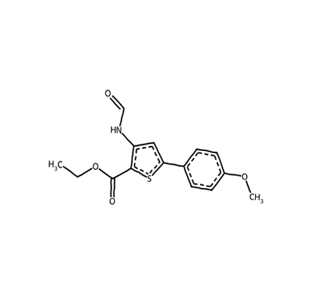 CCOC(=O)c1sc(-c2ccc(OC)cc2)cc1NC=O